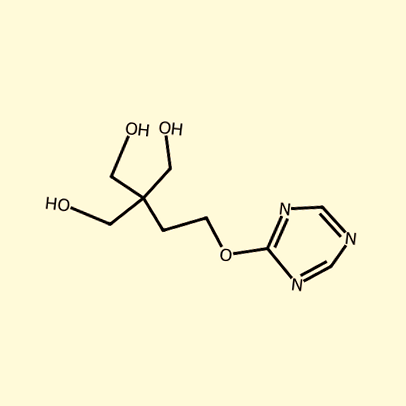 OCC(CO)(CO)CCOc1ncncn1